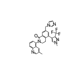 Cc1cnc2cccc(N3CCc4c(cc(Cn5ccnc5)cc4-c4cn(C)nc4C(F)(F)F)C3=O)c2c1